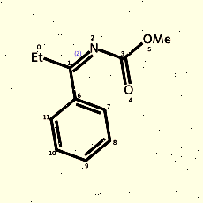 CC/C(=N/C(=O)OC)c1ccccc1